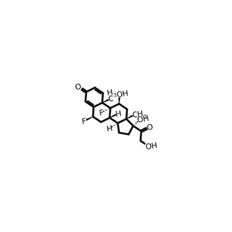 C[C@]12C=CC(=O)C=C1[C@H](F)C[C@H]1[C@@H]3CC[C@](O)(C(=O)CO)[C@@]3(C)C[C@H](O)[C@@]12F